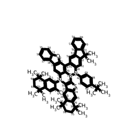 Cc1cc2c(cc1N1c3cc4c(oc5ccccc54)c4c3B(c3sc5cc6c(cc5c31)C(C)(C)CCC6(C)C)N(c1ccc(C(C)(C)C)cc1)c1cc3c(cc1-4)-c1ccccc1C3(C)C)C(C)(C)CCC2(C)C